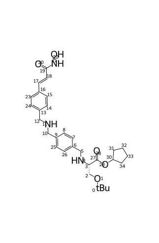 CC(C)(C)OC[C@H](NCc1ccc(CNCc2ccc(C=CC(=O)NO)cc2)cc1)C(=O)OC1CCCC1